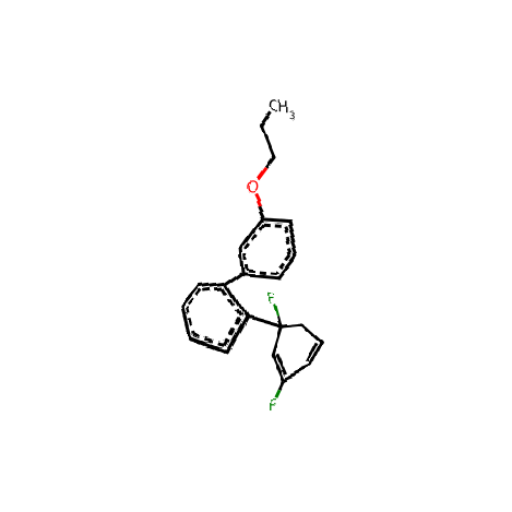 CCCOc1cccc(-c2ccccc2C2(F)C=C(F)C=CC2)c1